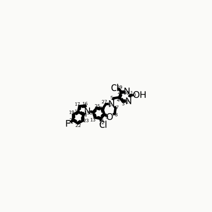 Oc1ncc(CN2CCOc3c(Cl)cc(-n4ccc5cc(F)ccc54)cc3C2)c(Cl)n1